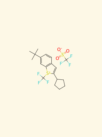 CC(C)(C)c1ccc2cc(C3CCCC3)[s+](C(F)(F)F)c2c1.O=S(=O)([O-])C(F)(F)F